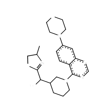 CC1CSC(C(O)C2CCCN(c3ncnc4cc(N5CCOCC5)ccc34)C2)=N1